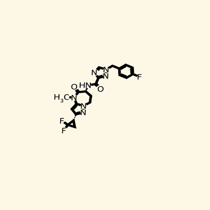 CN1C(=O)[C@@H](NC(=O)c2ncn(Cc3ccc(F)cc3)n2)CCn2nc([C@@H]3CC3(F)F)cc21